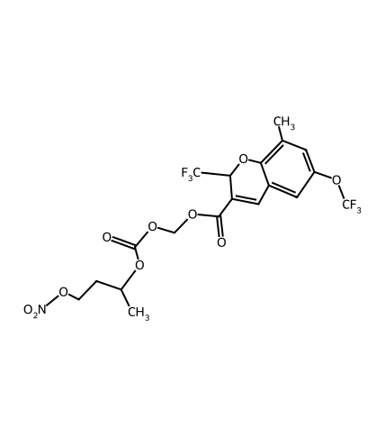 Cc1cc(OC(F)(F)F)cc2c1OC(C(F)(F)F)C(C(=O)OCOC(=O)OC(C)CCO[N+](=O)[O-])=C2